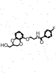 O=C(NCCOc1cccc2c1OCC(CO)O2)c1ccc(F)cc1